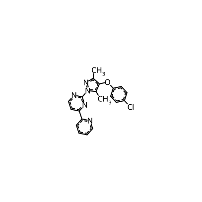 Cc1nn(-c2nccc(-c3ccccn3)n2)c(C)c1Oc1ccc(Cl)cc1